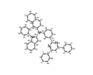 c1ccc(-c2cc(-c3ccccc3)nc(-c3cccc(N4c5ccc6ccccc6c5-c5ccccc5-n5c4cc4ccccc45)c3)n2)cc1